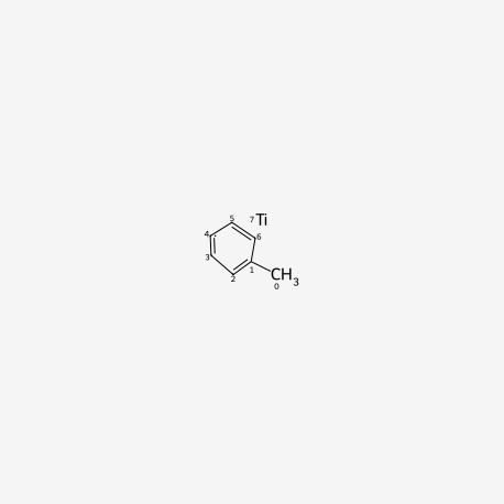 Cc1cc[c]cc1.[Ti]